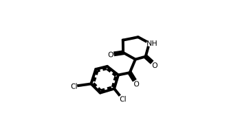 O=C1CCNC(=O)C1C(=O)c1ccc(Cl)cc1Cl